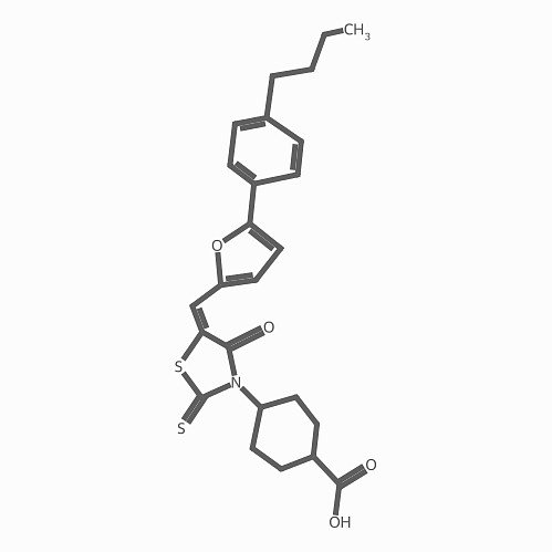 CCCCc1ccc(-c2ccc(/C=C3/SC(=S)N(C4CCC(C(=O)O)CC4)C3=O)o2)cc1